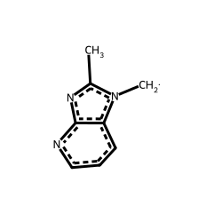 [CH2]n1c(C)nc2ncccc21